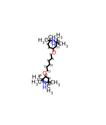 CC1(C)CCC(OCCCCCCOC2CC(C)(C)NC2(C)C)CC(C)(C)N1